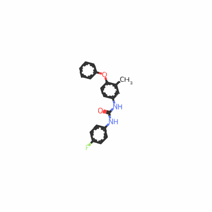 Cc1cc(NC(=O)Nc2ccc(F)cc2)ccc1Oc1ccccc1